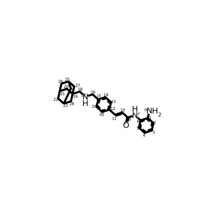 Nc1ccccc1NC(=O)/C=C/c1ccc(CNCC23CC4CC(CC(C4)C2)C3)cc1